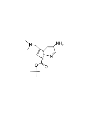 CN(C)Cc1cn(C(=O)OC(C)(C)C)c2ncc(N)cc12